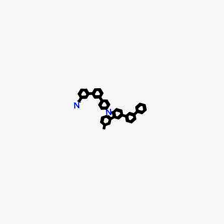 CC1C=Cc2c(c3cc(-c4cccc(-c5ccccc5)c4)ccc3n2-c2ccc(-c3cccc(-c4cccc(C#N)c4)c3)cc2)C1